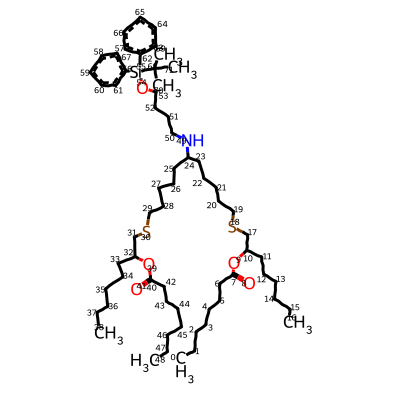 CCCCCCCC(=O)OC(CCCCCC)CSCCCCCC(CCCCCSCC(CCCCCC)OC(=O)CCCCCCC)NCCCCO[Si](c1ccccc1)(c1ccccc1)C(C)(C)C